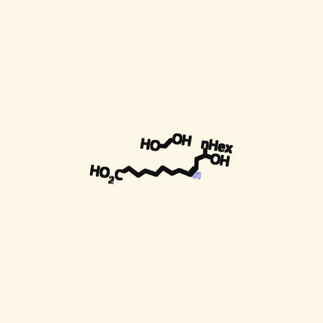 CCCCCCC(O)C/C=C\CCCCCCCC(=O)O.OCCO